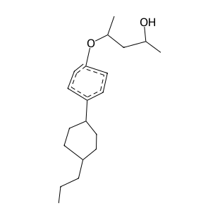 CCCC1CCC(c2ccc(OC(C)CC(C)O)cc2)CC1